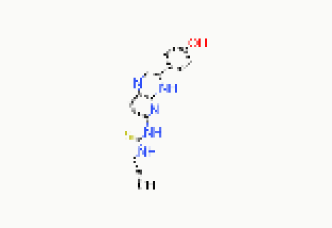 C#CCNC(=S)Nc1ccc2c(n1)NC(c1ccc(O)cc1)C=N2